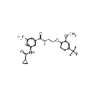 COc1cc(C(F)(F)F)ccc1OCCNC(=O)c1cc(C)nc(NC(=O)C2CC2)c1